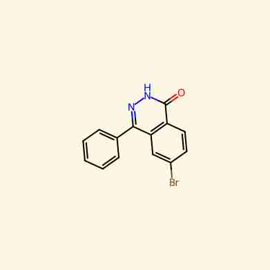 O=c1[nH]nc(-c2ccccc2)c2cc(Br)ccc12